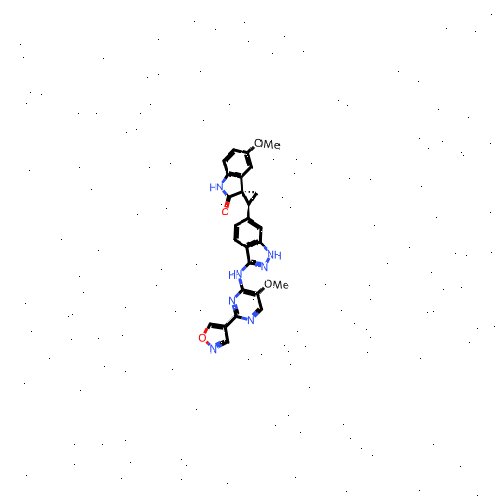 COc1ccc2c(c1)[C@]1(C[C@H]1c1ccc3c(Nc4nc(-c5cnoc5)ncc4OC)n[nH]c3c1)C(=O)N2